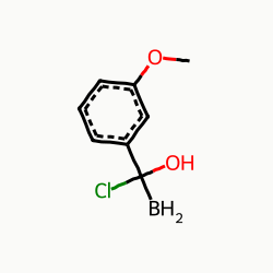 BC(O)(Cl)c1cccc(OC)c1